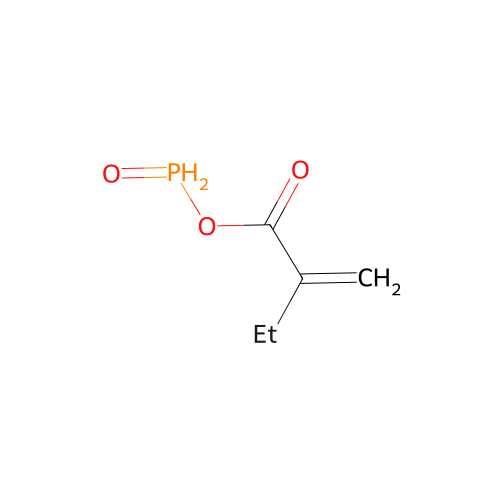 C=C(CC)C(=O)O[PH2]=O